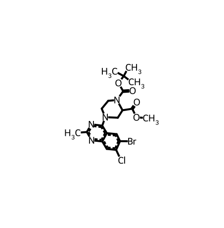 COC(=O)C1CN(c2nc(C)nc3cc(Cl)c(Br)cc23)CCN1C(=O)OC(C)(C)C